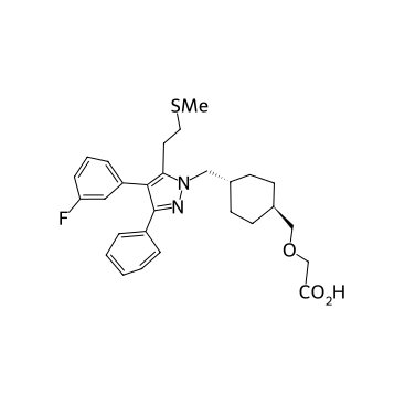 CSCCc1c(-c2cccc(F)c2)c(-c2ccccc2)nn1C[C@H]1CC[C@H](COCC(=O)O)CC1